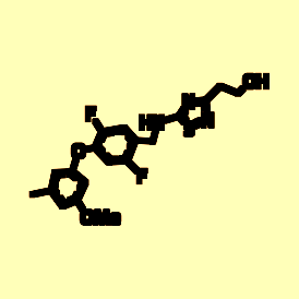 COc1cc(C)cc(Oc2cc(F)c(CNc3nc(CCO)ns3)cc2F)c1